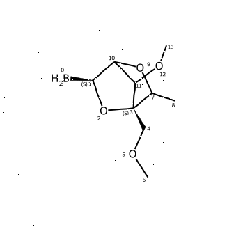 B[C@@H]1O[C@@]2(COC)C(C)OC1C2OC